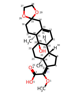 CO/C(C(=O)O)=C1\CC[C@H]2[C@@H]3CC=C4CC5(CC[C@]4(C)[C@@]3(O)CC[C@]12C)OCCO5